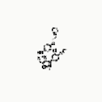 [C-]#[N+]c1ccc(Nc2nc(Nc3ccc(OCCN4CCCC4)cc3)ncc2C)cc1Cl